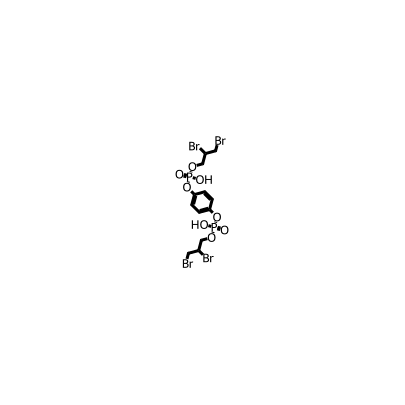 O=P(O)(OCC(Br)CBr)Oc1ccc(OP(=O)(O)OCC(Br)CBr)cc1